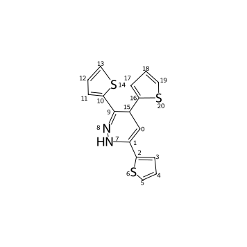 C1=C(c2cccs2)NN=C(c2cccs2)C1c1cccs1